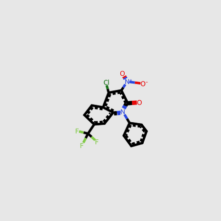 O=c1c([N+](=O)[O-])c(Cl)c2ccc(C(F)(F)F)cc2n1-c1ccccc1